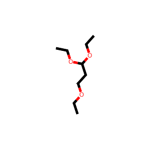 CCO[CH]CC(OCC)OCC